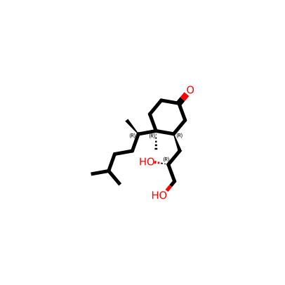 CC(C)CC[C@@H](C)[C@@]1(C)CCC(=O)C[C@H]1C[C@@H](O)CO